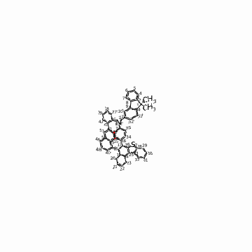 CC1(C)c2ccccc2-c2cc(N(c3ccc(-c4cc5ccccc5c5c4sc4ccccc45)cc3)c3ccccc3-c3ccc4ccccc4c3)ccc21